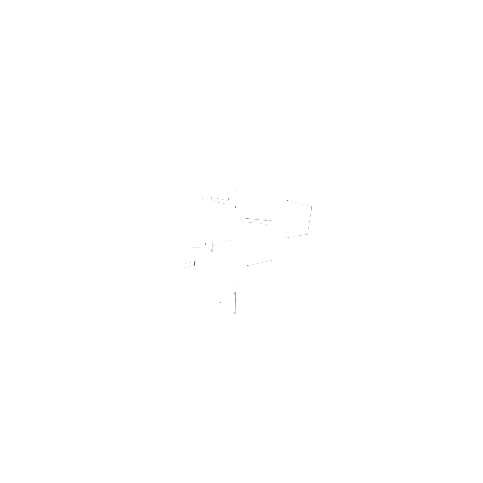 CC(=O)Nc1c(C2CC2)cc2c(c1[N+](=O)[O-])CCC2